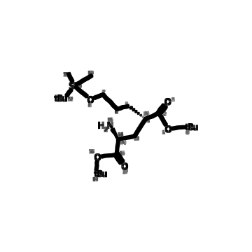 CC(C)(C)OC(=O)[C@@H](CCCO[Si](C)(C)C(C)(C)C)C[C@H](N)C(=O)OC(C)(C)C